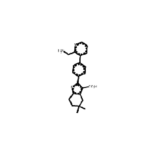 CC1(C)CCc2sc(-c3ccc(-c4cccnc4CN)cc3)c(C(=O)O)c2C1